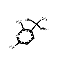 CCCCCCCC(C)(CCCC)c1ccc(C)nc1C